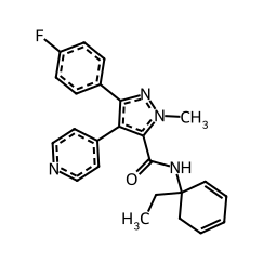 CCC1(NC(=O)c2c(-c3ccncc3)c(-c3ccc(F)cc3)nn2C)C=CC=CC1